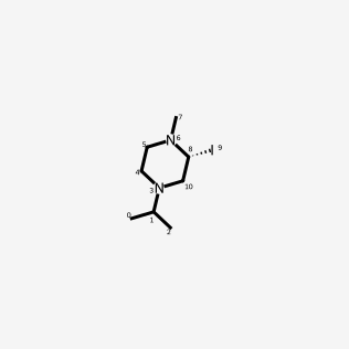 CC(C)N1CCN(C)[C@H](I)C1